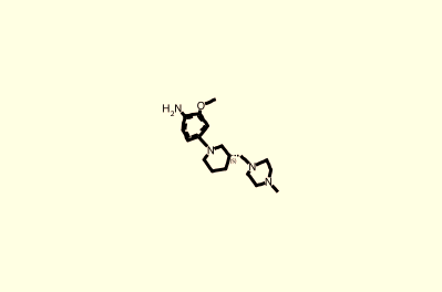 COc1cc(N2CCC[C@@H](CN3CCN(C)CC3)C2)ccc1N